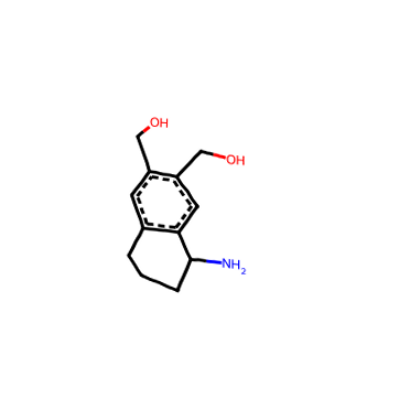 NC1CCCc2cc(CO)c(CO)cc21